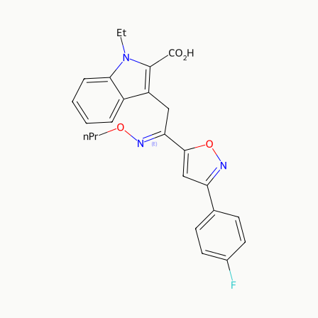 CCCO/N=C(\Cc1c(C(=O)O)n(CC)c2ccccc12)c1cc(-c2ccc(F)cc2)no1